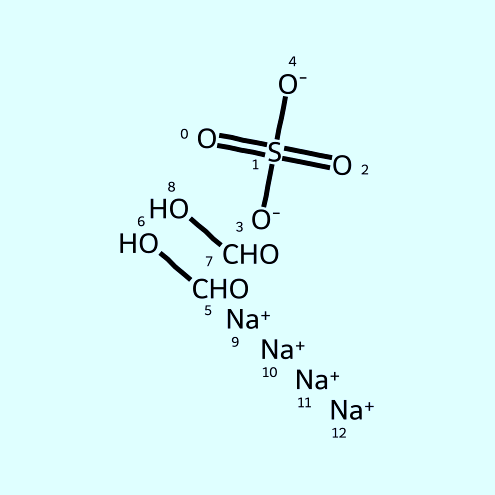 O=S(=O)([O-])[O-].O=[C-]O.O=[C-]O.[Na+].[Na+].[Na+].[Na+]